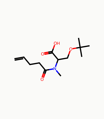 C=CCCC(=O)N(C)C(COC(C)(C)C)C(=O)O